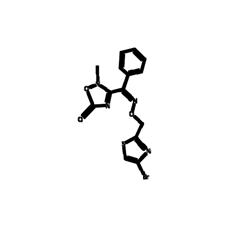 Cn1oc(=O)nc1C(=NOCc1nc(Br)cs1)c1ccccc1